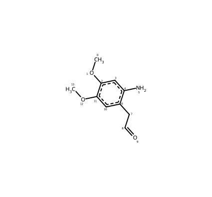 COc1cc(N)c(CC=O)cc1OC